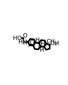 C[C@]12CCC(NC(=O)O)C=C1CC[C@@H]1[C@H]2CC[C@]2(C)C(O)CC[C@@H]12